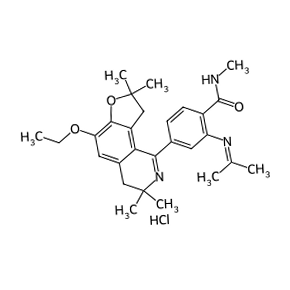 CCOc1cc2c(c3c1OC(C)(C)C3)C(c1ccc(C(=O)NC)c(N=C(C)C)c1)=NC(C)(C)C2.Cl